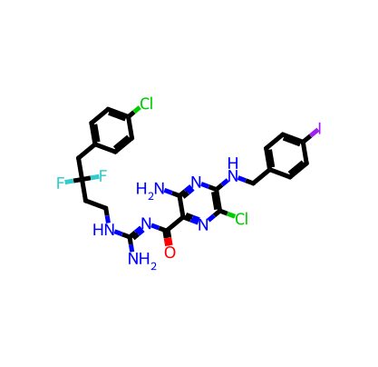 N/C(=N\C(=O)c1nc(Cl)c(NCc2ccc(I)cc2)nc1N)NCCC(F)(F)Cc1ccc(Cl)cc1